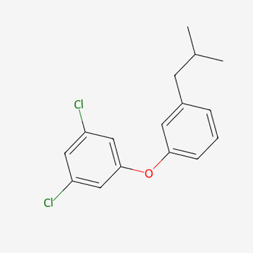 CC(C)Cc1cccc(Oc2cc(Cl)cc(Cl)c2)c1